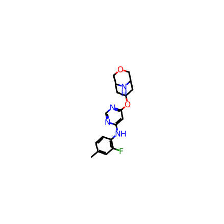 Cc1ccc(Nc2cc(OC3CC4COCC(C3)N4)ncn2)c(F)c1